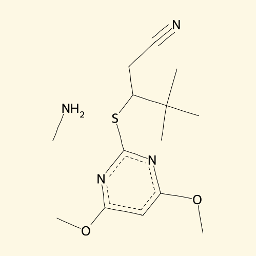 CN.COc1cc(OC)nc(SC(CC#N)C(C)(C)C)n1